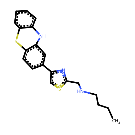 CCCCNCc1nc(-c2ccc3c(c2)Nc2ccccc2S3)cs1